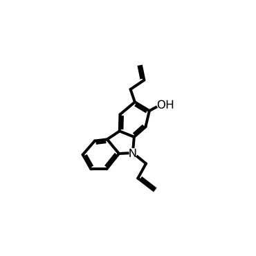 C=CCc1cc2c3ccccc3n(CC=C)c2cc1O